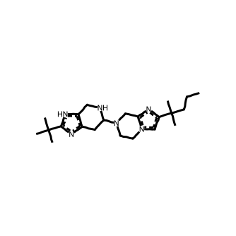 CCCC(C)(C)c1cn2c(n1)CN(C1Cc3nc(C(C)(C)C)[nH]c3CN1)CC2